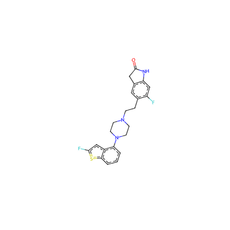 O=C1Cc2cc(CCN3CCN(c4cccc5sc(F)cc45)CC3)c(F)cc2N1